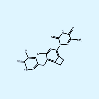 CC(C)c1cc(Oc2c(Cl)cc(-n3nc(N)c(=O)[nH]c3=O)c3c2CC3)n[nH]c1=O